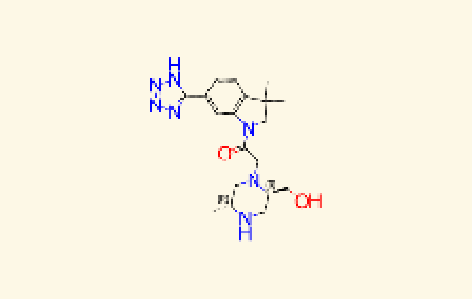 C[C@@H]1CN(CC(=O)N2CC(C)(C)c3ccc(-c4nnn[nH]4)cc32)[C@@H](CO)CN1